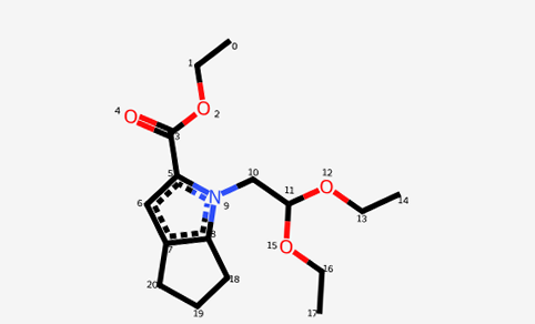 CCOC(=O)c1cc2c(n1CC(OCC)OCC)CCC2